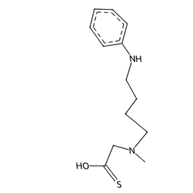 CN(CCCCNc1ccccc1)CC(O)=S